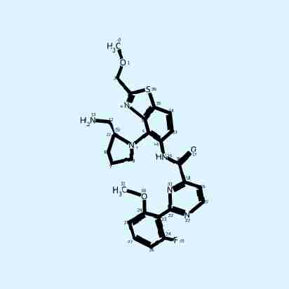 COCc1nc2c(N3CCC[C@H]3CN)c(NC(=O)c3ccnc(-c4c(F)cccc4OC)n3)ccc2s1